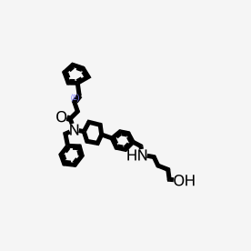 O=C(C/C=C/c1ccccc1)N(Cc1ccccc1)C1CCC(c2ccc(CNCCCCO)cc2)CC1